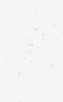 CC(C=CC1=C(C)CCCC1(C)C)=C/C=C\C(C)=CCOC(=O)CC(O)(CC(=O)O)C(=O)O